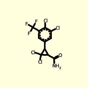 NC(=O)C1C(c2cc(Cl)c(Cl)c(C(F)(F)F)c2)C1(Cl)Cl